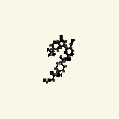 C[C@@H](Nc1ncc(C#N)c(-c2c[nH]c3ncc(C(F)(F)F)cc23)n1)[C@H]1CC[C@H](NC(=O)CN)CC1